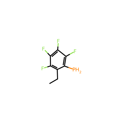 CCc1c(F)c(F)c(F)c(F)c1P